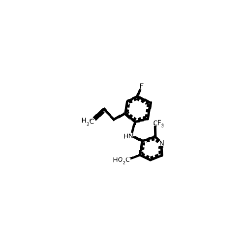 C=CCc1cc(F)ccc1Nc1c(C(=O)O)ccnc1C(F)(F)F